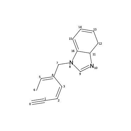 C#C/C=C\C(=C/C)CN1C=NC2CC=CC=C21